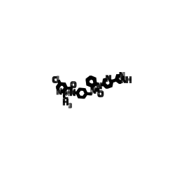 Cc1ncc(Cl)cc1C(=O)NC1CCC(Cn2c(=O)n(-c3ccc(-c4cn[nH]c4)nc3)c3ccccc32)CC1